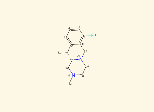 CCc1cccc(F)c1CN1CCN(C)CC1